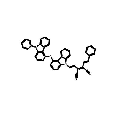 N#CC(/C=C/c1ccccc1)=C(C#N)/C=C/n1c2ccccc2c2c(Oc3cccc4c3c3ccccc3n4-c3ccccc3)cccc21